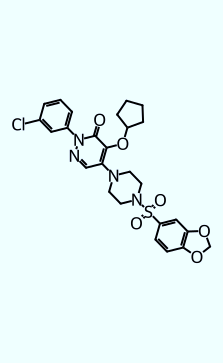 O=c1c(OC2CCCC2)c(N2CCN(S(=O)(=O)c3ccc4c(c3)OCO4)CC2)cnn1-c1cccc(Cl)c1